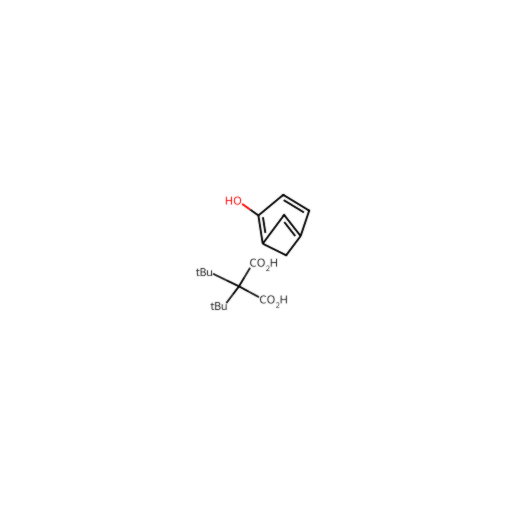 CC(C)(C)C(C(=O)O)(C(=O)O)C(C)(C)C.Oc1ccc2cc1C2